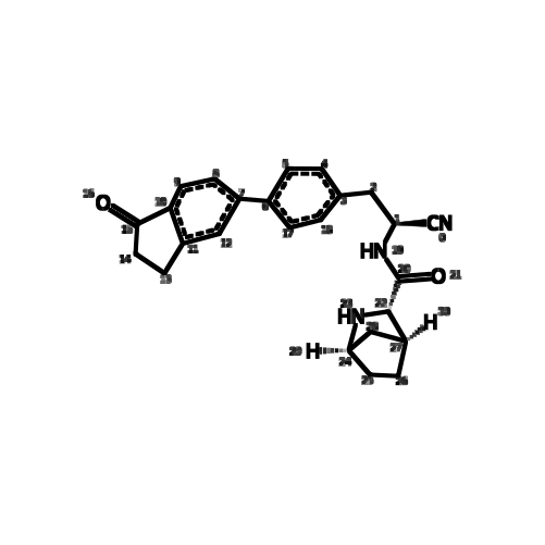 N#C[C@H](Cc1ccc(-c2ccc3c(c2)CCC3=O)cc1)NC(=O)[C@H]1N[C@@H]2CC[C@H]1C2